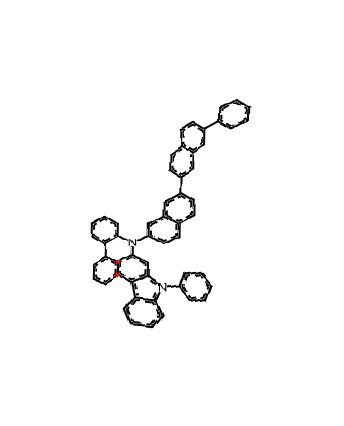 c1ccc(-c2ccc3ccc(-c4ccc5ccc(N(c6ccc7c8ccccc8n(-c8ccccc8)c7c6)c6ccccc6-c6ccccc6)cc5c4)cc3c2)cc1